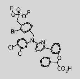 O=C(O)C(Oc1cccc(-c2csc(N(Cc3ccc(CP(=O)(OF)OF)c(Br)c3)c3ccc(Cl)c(Cl)c3)n2)c1)c1ccccc1